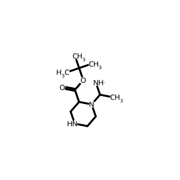 CC([NH])N1CCNCC1C(=O)OC(C)(C)C